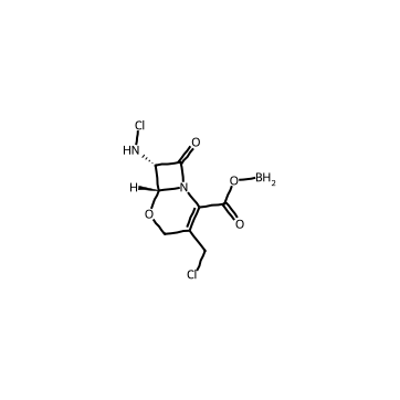 BOC(=O)C1=C(CCl)CO[C@@H]2[C@H](NCl)C(=O)N12